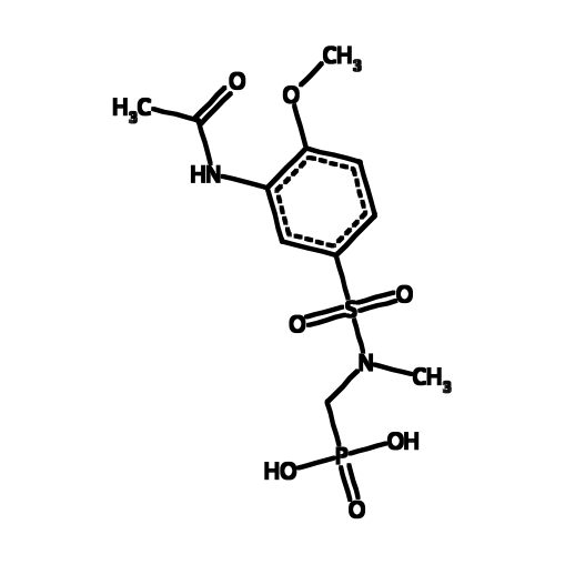 COc1ccc(S(=O)(=O)N(C)CP(=O)(O)O)cc1NC(C)=O